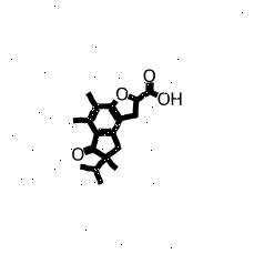 Cc1c(C)c2c(c3c1OC(C(=O)O)C3)CC(C)(C(C)C)C2=O